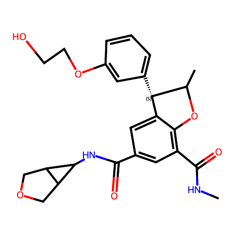 CNC(=O)c1cc(C(=O)NC2C3COCC32)cc2c1OC(C)[C@H]2c1cccc(OCCO)c1